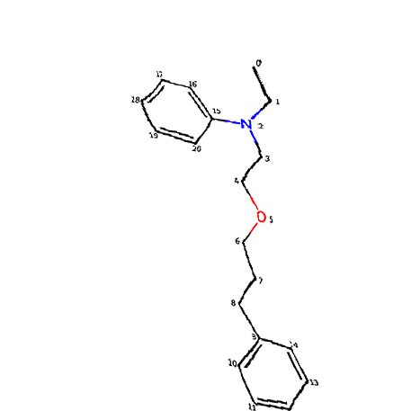 CCN(CCOCCCc1ccccc1)c1ccccc1